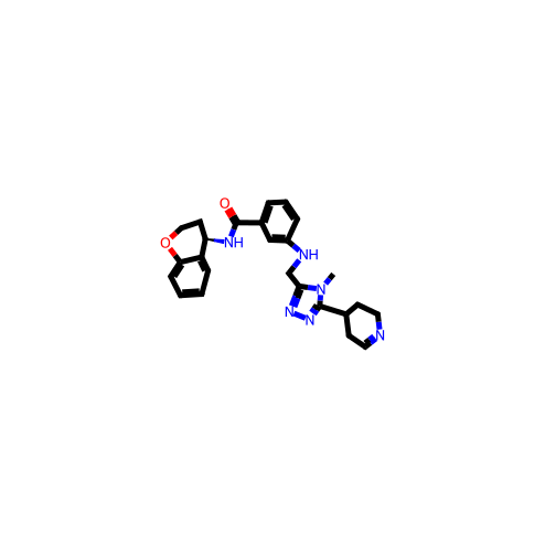 Cn1c(CNc2cccc(C(=O)N[C@@H]3CCOc4ccccc43)c2)nnc1C1CC=NCC1